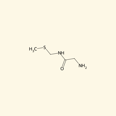 CSCNC(=O)CN